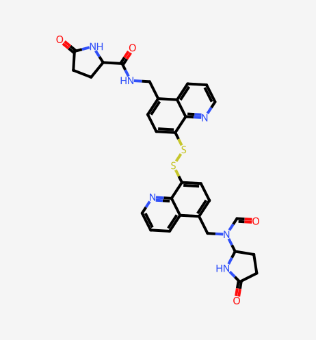 O=CN(Cc1ccc(SSc2ccc(CNC(=O)C3CCC(=O)N3)c3cccnc23)c2ncccc12)C1CCC(=O)N1